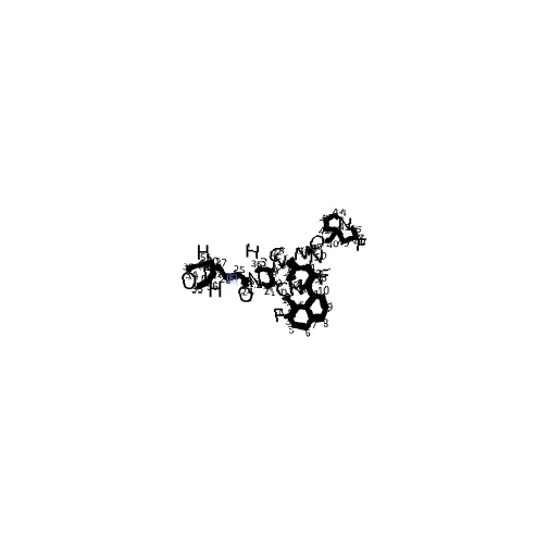 C#Cc1c(F)ccc2cccc(-c3ncc4c(N(C)[C@@H]5CCN(C(=O)/C=C/CN6[C@@H]7CC[C@H]6COC7)C5)nc(OCC56CCCN5C[C@H](F)C6)nc4c3F)c12